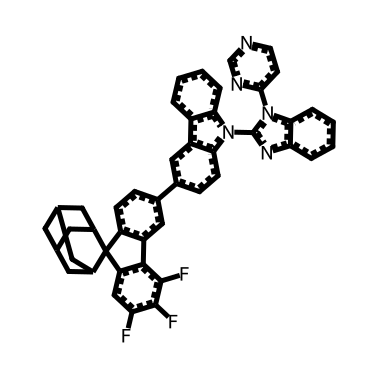 Fc1cc2c(c(F)c1F)-c1cc(-c3ccc4c(c3)c3ccccc3n4-c3nc4ccccc4n3-c3ccncn3)ccc1C21C2CC3CC(C2)CC1C3